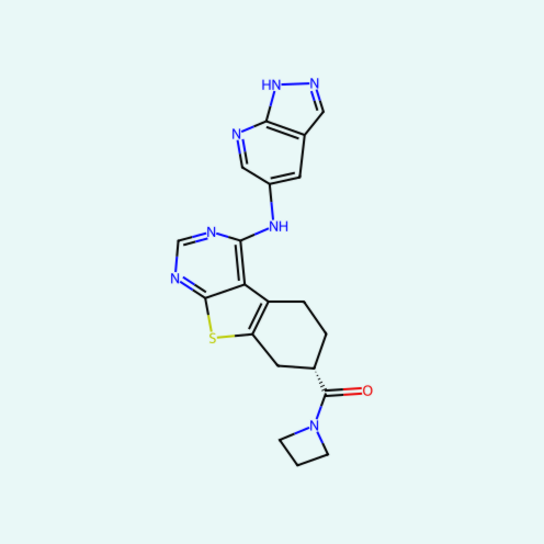 O=C([C@H]1CCc2c(sc3ncnc(Nc4cnc5[nH]ncc5c4)c23)C1)N1CCC1